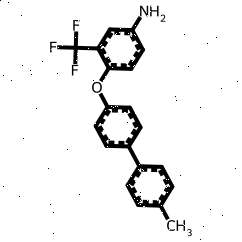 Cc1ccc(-c2ccc(Oc3ccc(N)cc3C(F)(F)F)cc2)cc1